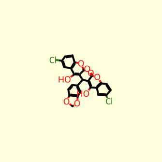 O=c1oc2ccc(Cl)cc2c(O)c1C(c1ccc2c(c1)OCO2)c1c(O)c2cc(Cl)ccc2oc1=O